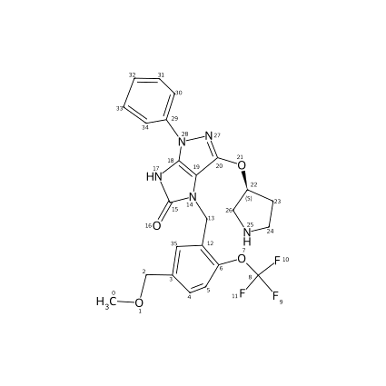 COCc1ccc(OC(F)(F)F)c(Cn2c(=O)[nH]c3c2c(O[C@H]2CCNC2)nn3-c2ccccc2)c1